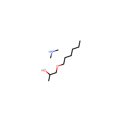 CCCCCCOCC(C)O.CNC